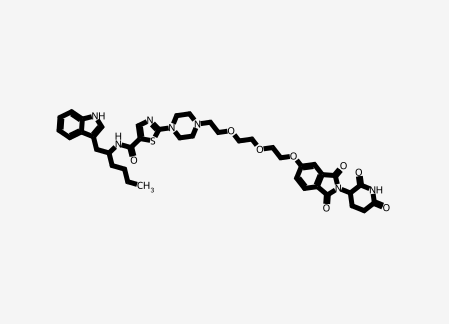 CCCCC(Cc1c[nH]c2ccccc12)NC(=O)c1cnc(N2CCN(CCOCCOCCOc3ccc4c(c3)C(=O)N(C3CCC(=O)NC3=O)C4=O)CC2)s1